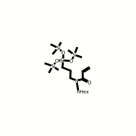 C=CC(=O)N(CCCCCC)CCC[Si](O[Si](C)(C)C)(O[Si](C)(C)C)O[Si](C)(C)C